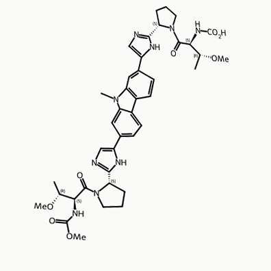 COC(=O)N[C@H](C(=O)N1CCC[C@H]1c1ncc(-c2ccc3c4ccc(-c5cnc([C@@H]6CCCN6C(=O)[C@@H](NC(=O)O)[C@@H](C)OC)[nH]5)cc4n(C)c3c2)[nH]1)[C@@H](C)OC